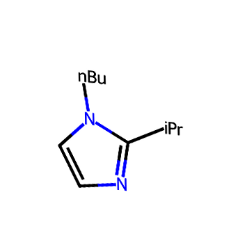 CCCCn1ccnc1C(C)C